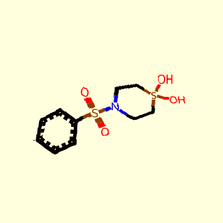 O=S(=O)(c1cc[c]cc1)N1CCS(O)(O)CC1